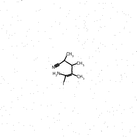 C/C(=C(/N)I)C(C)C(C)C#N